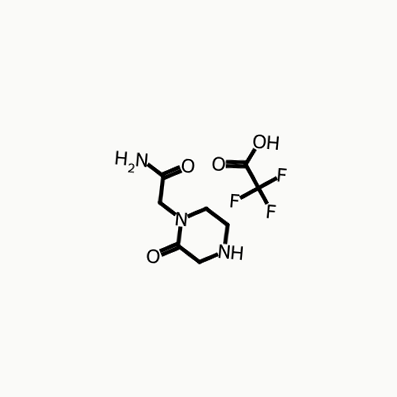 NC(=O)CN1CCNCC1=O.O=C(O)C(F)(F)F